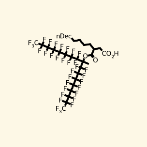 CCCCCCCCCCCCCCC(CC(=O)O)C(=O)OC(C)(C(F)(F)C(F)(F)C(F)(F)C(F)(F)C(F)(F)C(F)(F)C(F)(F)C(F)(F)F)C(F)(F)C(F)(F)C(F)(F)C(F)(F)C(F)(F)C(F)(F)C(F)(F)C(F)(F)F